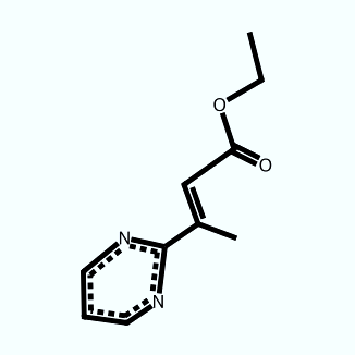 CCOC(=O)C=C(C)c1ncccn1